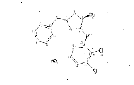 Cl.O[C@@H]1CN(Cc2ccccc2)C[C@H]1Oc1cccc(Cl)c1Cl